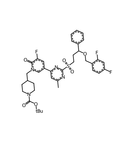 Cc1cc(-c2cc(F)c(=O)n(CC3CCN(C(=O)OC(C)(C)C)CC3)c2)nc(S(=O)(=O)CCC(OCc2ccc(F)cc2F)c2ccccc2)n1